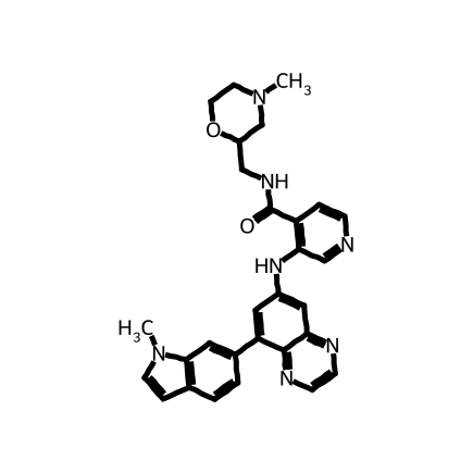 CN1CCOC(CNC(=O)c2ccncc2Nc2cc(-c3ccc4ccn(C)c4c3)c3nccnc3c2)C1